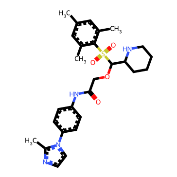 Cc1cc(C)c(S(=O)(=O)C(OCC(=O)Nc2ccc(-n3ccnc3C)cc2)C2CCCCN2)c(C)c1